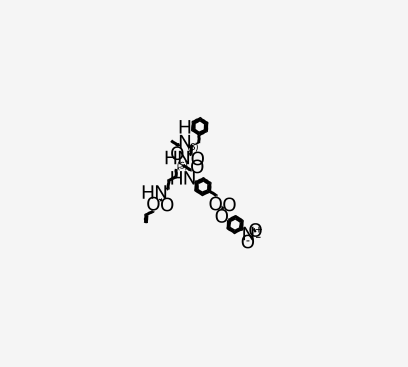 C=CCOC(=O)NCCCC[C@H](NC(=O)[C@H](Cc1ccccc1)NC(C)=O)C(=O)Nc1ccc(COC(=O)Oc2ccc([N+](=O)[O-])cc2)cc1